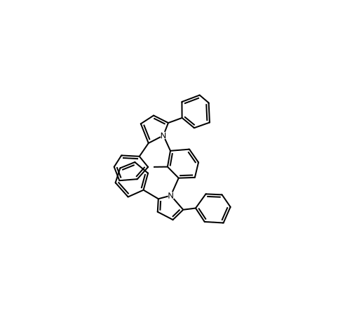 Cc1c(-n2c(-c3ccccc3)ccc2-c2ccccc2)cccc1-n1c(-c2ccccc2)ccc1-c1ccccc1